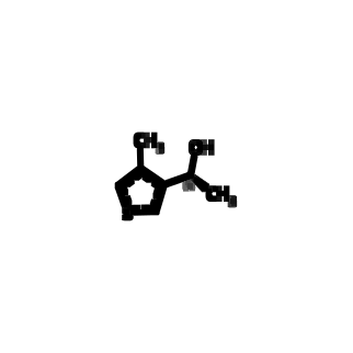 Cc1cscc1[C@H](C)O